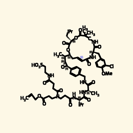 C=CCOC(=O)CCN(CCC(=O)N[C@H](C(=O)N[C@@H](C)C(=O)NCc1ccc([C@H]2O[C@@H]2[C@@H](C)[C@@H]2C/C=C/C(=O)N[C@H](Cc3ccc(OC)c(Cl)c3)C(=O)NCC(C)(C)C(=O)O[C@@H](CC(C)C)C(=O)O2)cc1)C(C)C)C(=O)CCC(=O)NCCS(=O)(=O)O